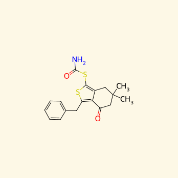 CC1(C)CC(=O)c2c(Cc3ccccc3)sc(SC(N)=O)c2C1